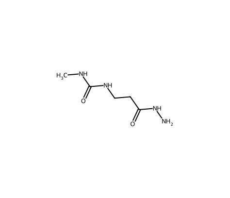 CNC(=O)NCCC(=O)NN